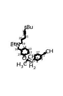 C#Cc1ccc([SiH2]C(C)(C)Oc2cccc(CN(CC)CC=CC#CC(C)(C)C)c2)cc1